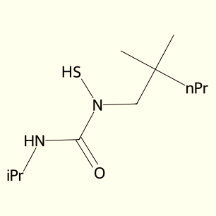 CCCC(C)(C)CN(S)C(=O)NC(C)C